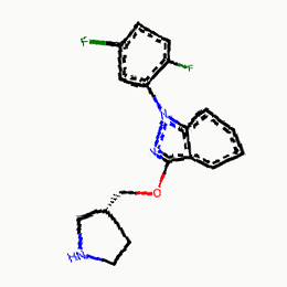 Fc1ccc(F)c(-n2nc(OC[C@@H]3CCNC3)c3ccccc32)c1